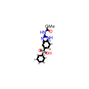 COC(=O)Nc1nc2cc([Se](=O)(O)c3ccccc3)ccc2[nH]1